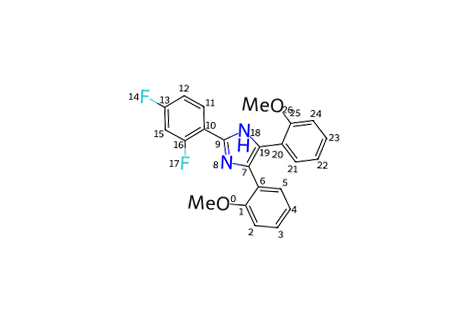 COc1ccccc1-c1nc(-c2ccc(F)cc2F)[nH]c1-c1ccccc1OC